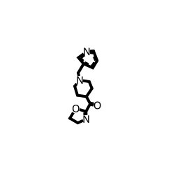 O=C(C1=NCCO1)C1CCN(Cc2cccnc2)CC1